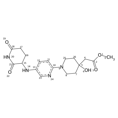 COC(=O)CC1(O)CCN(c2ccc(NC3CCC(=O)NC3=O)cn2)CC1